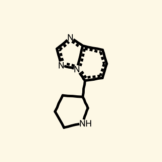 c1cc(C2CCCNC2)n2ncnc2c1